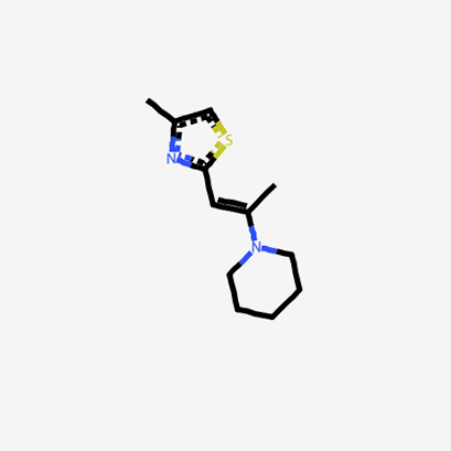 CC(=Cc1nc(C)cs1)N1CCCCC1